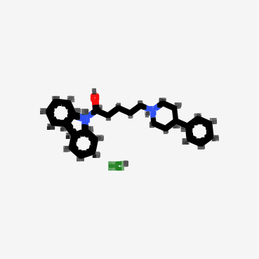 Cl.O=C(CCCCN1CCC(c2ccccc2)CC1)n1c2ccccc2c2ccccc21